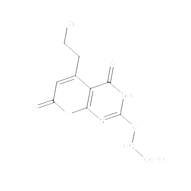 CCOC(=O)NOc1nc2oc(=O)cc(CCC(C)C)c2c(=O)[nH]1